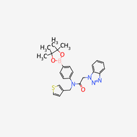 CC1(C)OB(c2ccc(N(Cc3ccsc3)C(=O)Cn3nnc4ccccc43)cc2)OC1(C)C